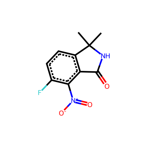 CC1(C)NC(=O)c2c1ccc(F)c2[N+](=O)[O-]